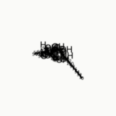 CCCCCCCCCCCCCCCC(=O)NCC(=O)N[C@@H](CO)C(=O)N[C@@H](CO)C(=O)N[C@@H](Cc1ccc(O)cc1)C(=O)N[C@H](C(=O)N[C@@H](CCCC)C(C)=O)C(C)O